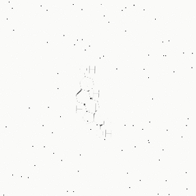 C[C@]12CCC(O)CC1=CC[C@@H]1[C@H]2CC[C@]2(C)C(C(=O)O)CC[C@@H]12